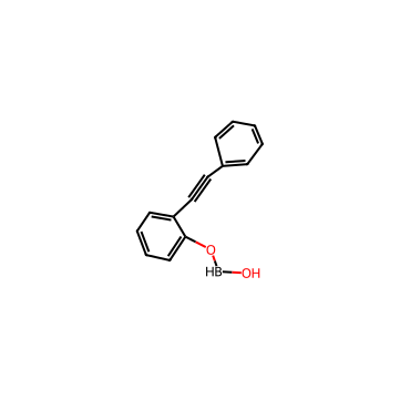 OBOc1ccccc1C#Cc1ccccc1